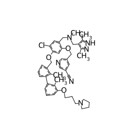 Cc1n[nH]c(C)c1CN(C)Cc1cc(Cl)c(OCc2cccc(-c3cccc(OCCCN4CCCC4)c3C)c2C)cc1OCc1cncc(C#N)c1